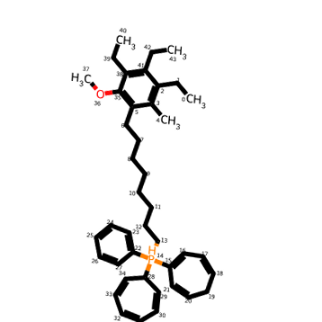 CCc1c(C)c(CCCCCCCC[PH](C2=CC=CCC=C2)(c2ccccc2)C2C=CC=CC=C2)c(OC)c(CC)c1CC